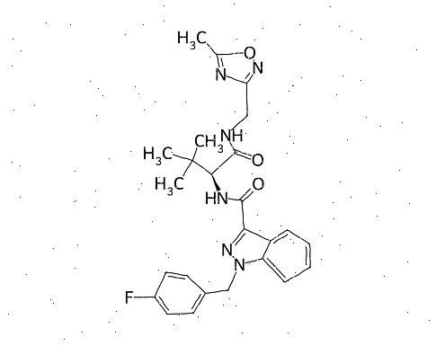 Cc1nc(CNC(=O)[C@@H](NC(=O)c2nn(Cc3ccc(F)cc3)c3ccccc23)C(C)(C)C)no1